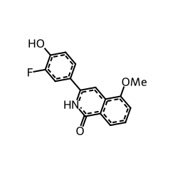 COc1cccc2c(=O)[nH]c(-c3ccc(O)c(F)c3)cc12